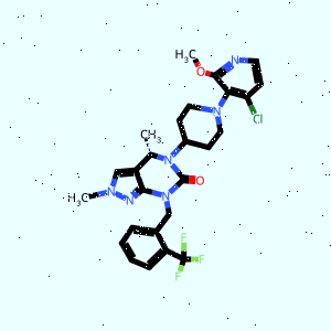 COc1nccc(Cl)c1N1CCC(N2C(=O)N(Cc3ccccc3C(F)(F)F)c3nn(C)cc3[C@@H]2C)CC1